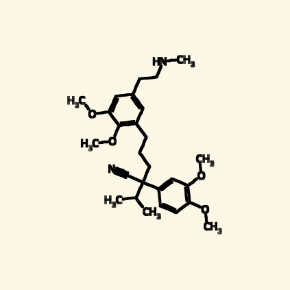 CNCCc1cc(CCCC(C#N)(c2ccc(OC)c(OC)c2)C(C)C)c(OC)c(OC)c1